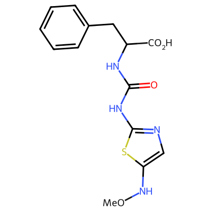 CONc1cnc(NC(=O)NC(Cc2ccccc2)C(=O)O)s1